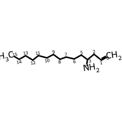 C=CCC(N)CCCCCCCCCCC